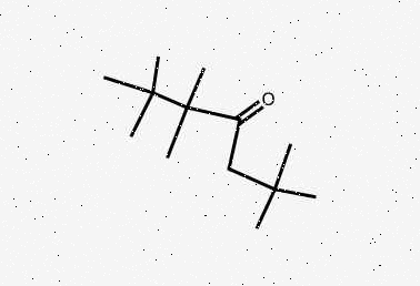 CC(C)(C)CC(=O)C(C)(C)C(C)(C)C